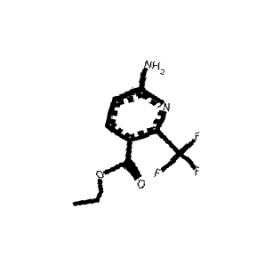 CCOC(=O)c1ccc(N)nc1C(F)(F)F